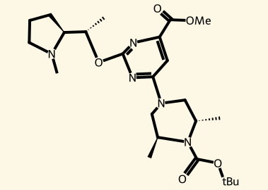 COC(=O)c1cc(N2C[C@H](C)N(C(=O)OC(C)(C)C)[C@@H](C)C2)nc(O[C@@H](C)[C@@H]2CCCN2C)n1